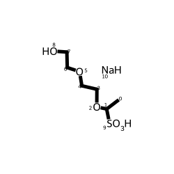 CC(OCCOCCO)S(=O)(=O)O.[NaH]